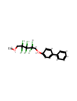 CCOCC(F)(F)C(F)(F)C(F)(F)COc1ccc(-c2ccccc2)cc1